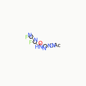 CC(=O)N1CCN(c2ccc(NC(=O)Cc3cnc(-c4ccnc(F)c4)c(F)c3)nc2)CC1